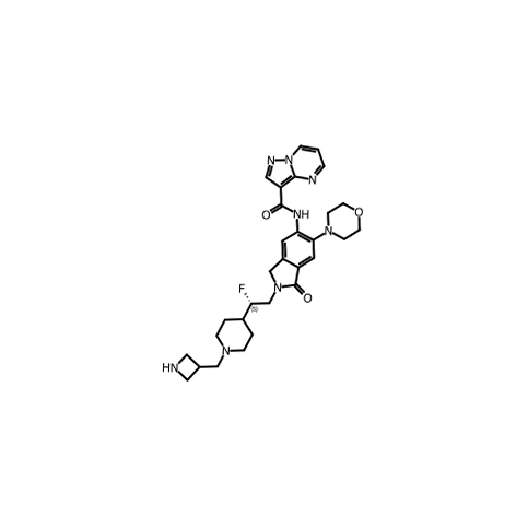 O=C(Nc1cc2c(cc1N1CCOCC1)C(=O)N(C[C@@H](F)C1CCN(CC3CNC3)CC1)C2)c1cnn2cccnc12